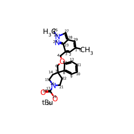 Cc1cc(COCC2(c3ccccc3)CCN(C(=O)OC(C)(C)C)CC2)c2nn(C)cc2c1